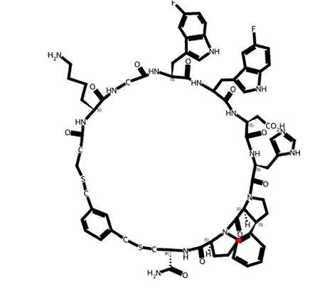 NCCCC[C@@H]1NC(=O)CCSCc2cccc(c2)CSC[C@@H](C(N)=O)NC(=O)[C@@H]2CCCN2C(=O)[C@@H]2[C@H](c3ccccc3)CCN2C(=O)[C@H](Cc2cnc[nH]2)NC(=O)[C@H](CC(=O)O)NC(=O)C(Cc2c[nH]c3ccc(F)cc23)NC(=O)[C@H](Cc2c[nH]c3ccc(F)cc23)NC(=O)CNC1=O